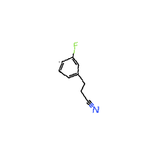 N#CCCc1cc[c]c(F)c1